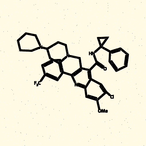 COc1cc2nc(-c3cccc(C(F)(F)F)c3)c(CN3CCC(N4CCCCC4)CC3)c(C(=O)NC3(c4ccccc4)CC3)c2cc1Cl